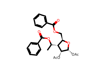 CC(=O)O[C@H]1O[C@H](COC(=O)c2ccccc2)[C@@H](C(C)OC(=O)c2ccccc2)[C@H]1OC(C)=O